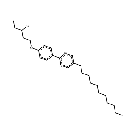 CCCCCCCCCCCc1cnc(-c2ccc(OCCC(Cl)CC)cc2)nc1